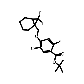 CC(C)(C)OC(=O)c1cc(Cl)c(OCC23CCCCC2C3(F)F)cc1F